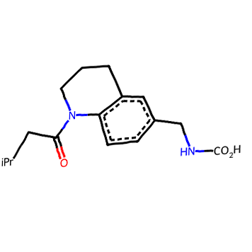 CC(C)CC(=O)N1CCCc2cc(CNC(=O)O)ccc21